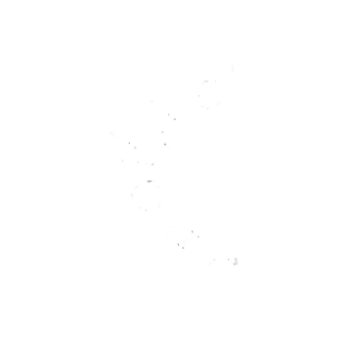 CNC(=O)Cn1cc(-c2ccc3c(c2)CC[C@@]32OC(=O)N(CC(=O)N(Cc3ccc(F)cc3)C(C)C3CC3)C2=O)cn1